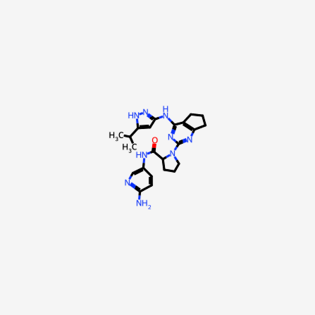 CC(C)c1cc(Nc2nc(N3CCCC3C(=O)Nc3ccc(N)nc3)nc3c2CCC3)n[nH]1